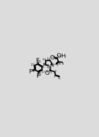 C=CCC(=O)N1[C@@H](C=C(C)C(=O)O)CC[C@H]1c1cc(F)c(F)cc1F